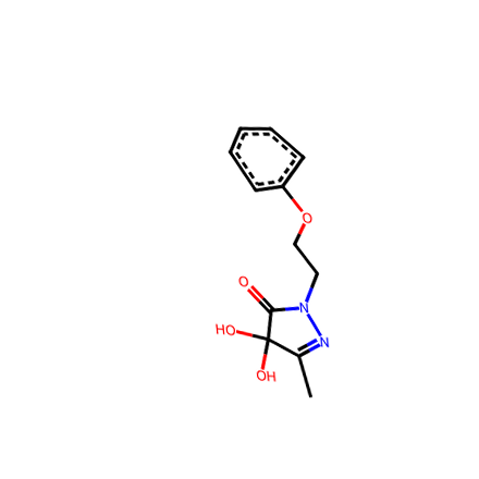 CC1=NN(CCOc2ccccc2)C(=O)C1(O)O